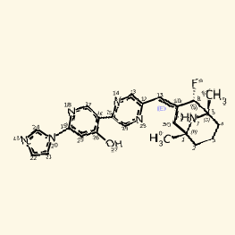 C[C@]12CCC[C@](C)(N1)[C@@H](F)/C(=C/c1cnc(-c3cnc(-n4ccnc4)cc3O)cn1)C2